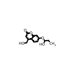 CCC(O)Oc1ccc2c(CO)cc(=O)oc2c1